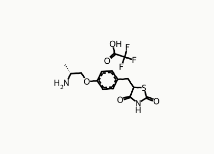 C[C@@H](N)COc1ccc(CC2SC(=O)NC2=O)cc1.O=C(O)C(F)(F)F